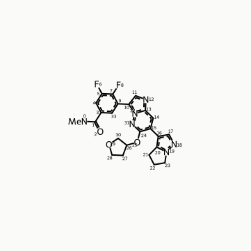 CNC(=O)c1cc(F)c(F)c(-c2cnc3cc(-c4cnn5c4CCC5)c(OC4CCOC4)nn23)c1